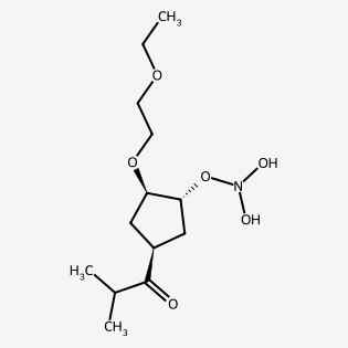 CCOCCO[C@@H]1C[C@H](C(=O)C(C)C)C[C@H]1ON(O)O